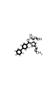 CO/N=C1/C[C@@H](/C(N)=N\O)N(C(=O)c2ccc(-c3ccccc3)cc2)C1